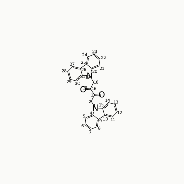 O=C(Cn1c2ccccc2c2ccccc21)C(=O)Cn1c2ccccc2c2ccccc21